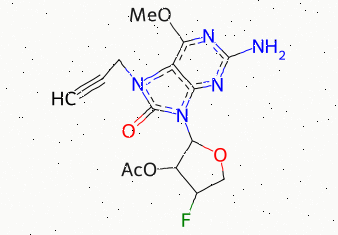 C#CCn1c(=O)n(C2OCC(F)C2OC(C)=O)c2nc(N)nc(OC)c21